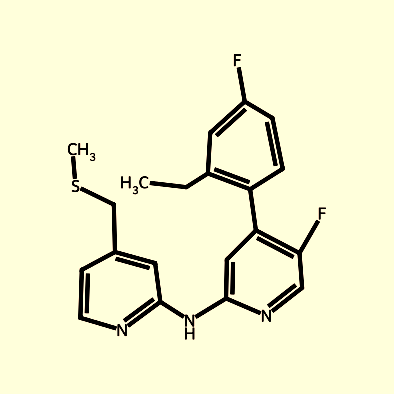 CCc1cc(F)ccc1-c1cc(Nc2cc(CSC)ccn2)ncc1F